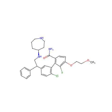 COCCOc1ccc(C(N)=O)c(-c2cc(C(CN[C@H]3CCCNCC3)c3ccccc3)ccc2Cl)c1F